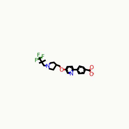 COC(=O)c1ccc(-c2ccc(OCC3CCN(CC(C)(C)C(F)(F)F)CC3)cn2)cc1